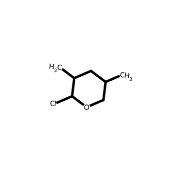 CC1COC(Cl)C(C)C1